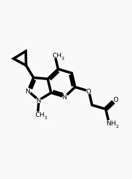 Cc1cc(OCC(N)=O)nc2c1c(C1CC1)nn2C